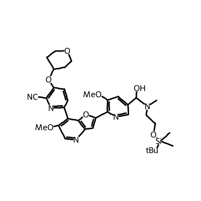 COc1cc(C(O)N(C)CCO[Si](C)(C)C(C)(C)C)cnc1-c1cc2ncc(OC)c(-c3ccc(OC4CCOCC4)c(C#N)n3)c2o1